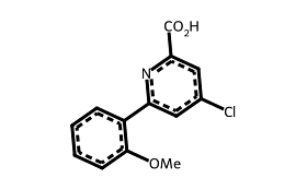 COc1ccccc1-c1cc(Cl)cc(C(=O)O)n1